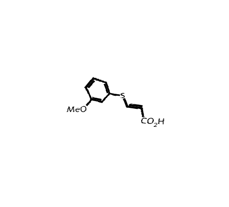 COc1cccc(SC=CC(=O)O)c1